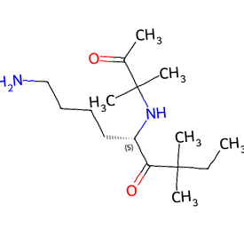 CCC(C)(C)C(=O)[C@H](CCCCN)NC(C)(C)C(C)=O